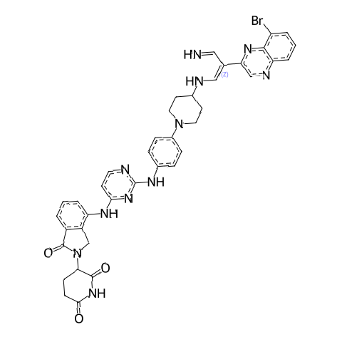 N=C/C(=C\NC1CCN(c2ccc(Nc3nccc(Nc4cccc5c4CN(C4CCC(=O)NC4=O)C5=O)n3)cc2)CC1)c1cnc2cccc(Br)c2n1